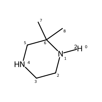 [2H]N1CCNCC1(C)C